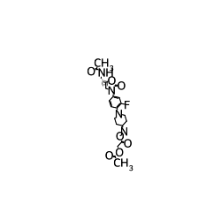 CC(=O)NC[C@H]1CN(c2ccc(N3CCC(=NOC(=O)COC(C)=O)CC3)c(F)c2)C(=O)O1